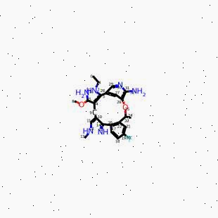 CCN/C1=C(\C(N)OC)C/C(=C/NC)C(=N)c2ccc(F)cc2C(C)Oc2cc1cnc2N